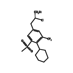 CCOC(=O)C(Cl)Cc1cc(C(F)(F)F)c(C2CCCCC2)c(S(C)(=O)=O)c1